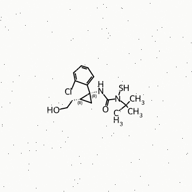 CC(C)(C)N(S)C(=O)N[C@]1(c2ccccc2Cl)C[C@@H]1CCO